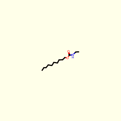 CCCCCCCCCCOC(=O)NCC